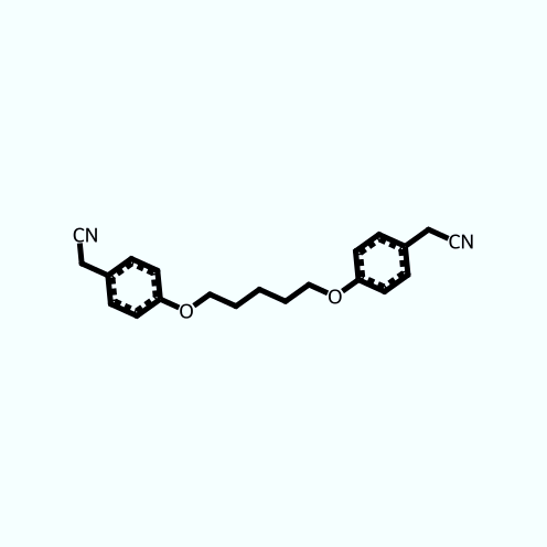 N#CCc1ccc(OCCCCCOc2ccc(CC#N)cc2)cc1